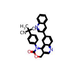 [C-]#[N+]C(C)(C)c1ccc(N2C(=O)OCc3cnc4ccc(-c5cnc6ccccc6c5)cc4c32)cc1